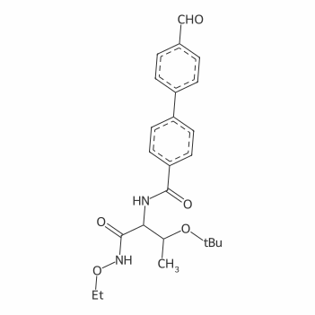 CCONC(=O)C(NC(=O)c1ccc(-c2ccc(C=O)cc2)cc1)C(C)OC(C)(C)C